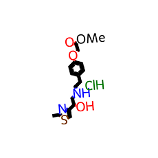 COC(=O)COc1ccc(CCNCC(O)c2csc(C)n2)cc1.Cl